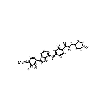 CNc1ccc(-c2cnc3c(Nc4ccc(C(=O)NCC5CC[S+]([O-])CC5)c(Cl)c4)nccn23)c(F)c1F